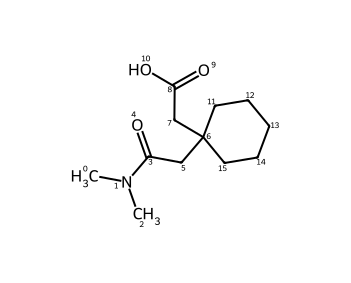 CN(C)C(=O)CC1(CC(=O)O)CCCCC1